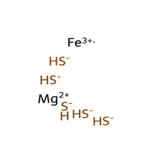 [Fe+3].[Mg+2].[SH-].[SH-].[SH-].[SH-].[SH-]